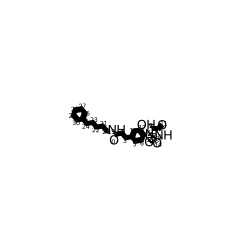 O=C(CCc1ccc(N2CC(=O)NS2(=O)=O)c(O)c1)NCCCCCc1ccccc1